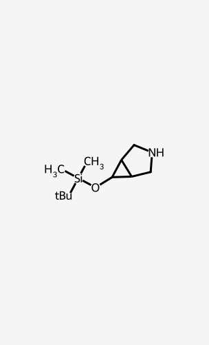 CC(C)(C)[Si](C)(C)OC1C2CNCC21